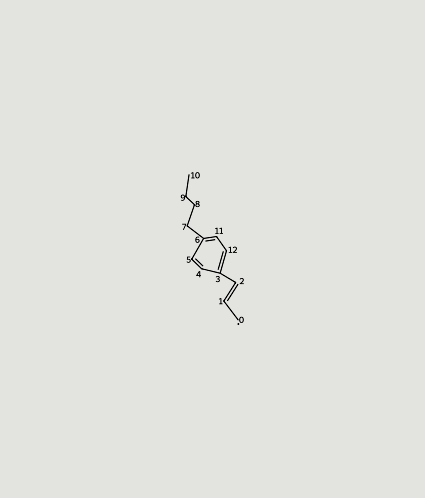 [CH2]C=Cc1ccc(CCCC)cc1